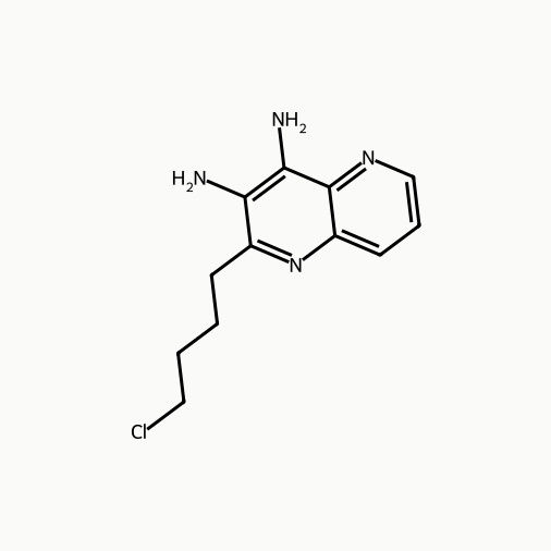 Nc1c(CCCCCl)nc2cccnc2c1N